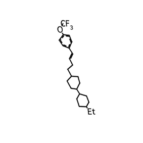 CCC1CCC(C2CCC(CCC=Cc3ccc(OC(F)(F)F)cc3)CC2)CC1